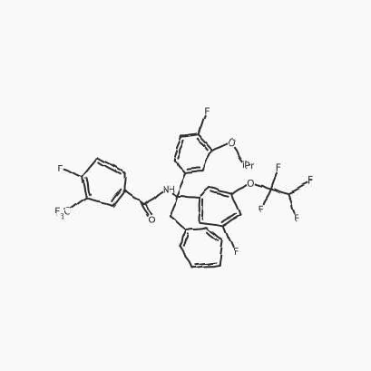 CC(C)Oc1cc(C(Cc2ccccc2)(NC(=O)c2ccc(F)c(C(F)(F)F)c2)c2cc(F)cc(OC(F)(F)C(F)F)c2)ccc1F